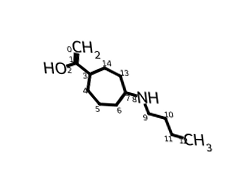 C=C(O)C1CCCC(NCCCC)CC1